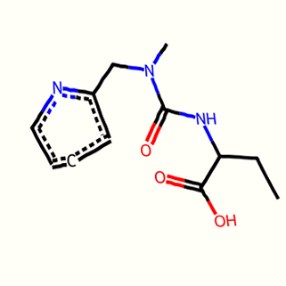 CCC(NC(=O)N(C)Cc1ccccn1)C(=O)O